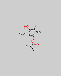 C=C(C)C(=O)OCc1cc(OC)c(O)c(I)c1OC